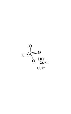 O=[As]([O-])([O-])[O-].[Cu+2].[Cu+2].[OH-]